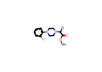 CC(C)(C)OC(=O)C(Br)N1CCN(c2ccccc2Cl)CC1